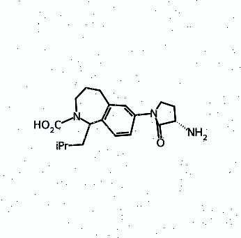 CC(C)CC1c2ccc(N3CC[C@H](N)C3=O)cc2CCCN1C(=O)O